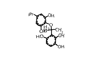 CC(C)c1cc(O)c(OC(C)(C)c2c(O)ccc(O)c2O)c(O)c1